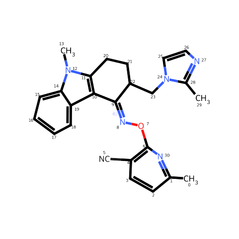 Cc1ccc(C#N)c(O/N=C2/c3c(n(C)c4ccccc34)CCC2Cn2ccnc2C)n1